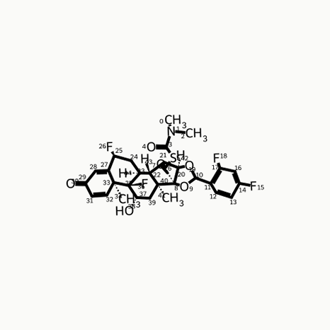 CN(C)C(=O)SC(=O)[C@@]12OC(c3ccc(F)cc3F)O[C@@H]1C[C@H]1[C@@H]3C[C@H](F)C4=CC(=O)C=C[C@]4(C)[C@@]3(F)[C@@H](O)C[C@@]12C